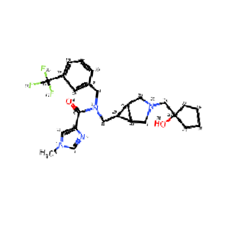 Cn1cnc(C(=O)N(Cc2cccc(C(F)(F)F)c2)CC2C3CN(CC4(O)CCCC4)CC32)c1